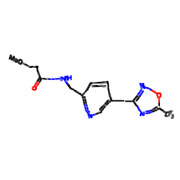 COCC(=O)NCc1ccc(-c2noc(C(F)(F)F)n2)cn1